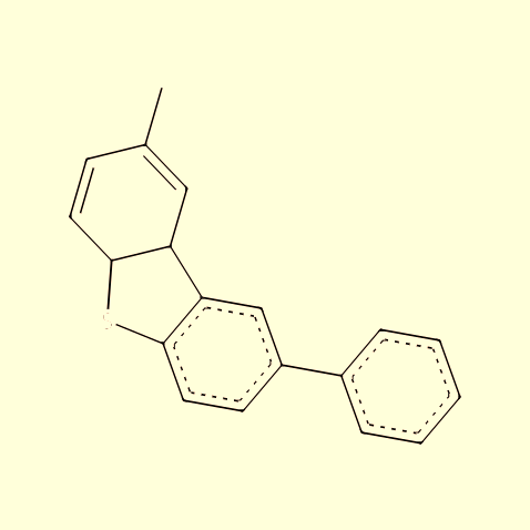 CC1=CC2c3cc(-c4ccccc4)ccc3SC2C=C1